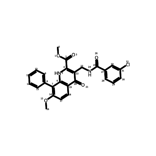 COC(=O)c1[nH]c2c(-c3ccccc3)c(OC)ccc2c(=O)c1CNC(=O)c1cccc(Cl)c1